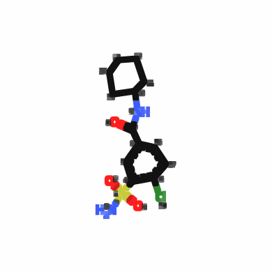 NS(=O)(=O)c1cc(C(=O)NC2CCCCC2)ccc1Cl